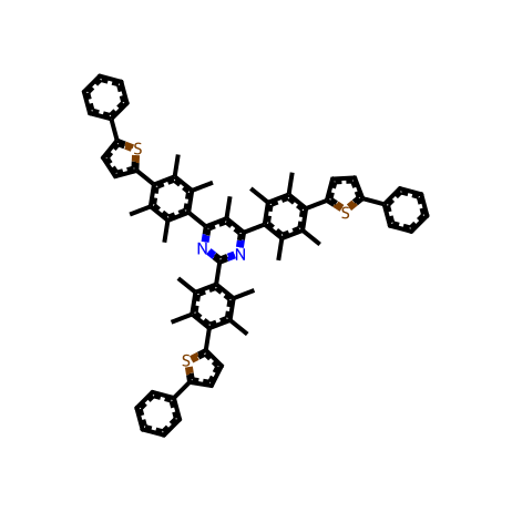 Cc1c(-c2c(C)c(C)c(-c3ccc(-c4ccccc4)s3)c(C)c2C)nc(-c2c(C)c(C)c(-c3ccc(-c4ccccc4)s3)c(C)c2C)nc1-c1c(C)c(C)c(-c2ccc(-c3ccccc3)s2)c(C)c1C